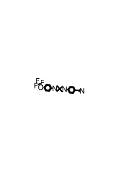 N#Cc1ccc(N2CC3(C2)CN(c2ccc(OC(F)(F)F)cc2)C3)cc1